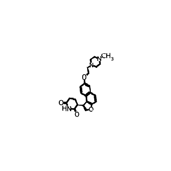 CN1CCN(CCOc2ccc3c(ccc4occ([C@@H]5CCC(=O)NC5=O)c43)c2)CC1